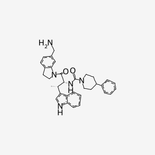 C[C@@H](c1c[nH]c2ccccc12)[C@@H](NC(=O)N1CCC(c2ccccc2)CC1)C(=O)N1CCc2ccc(CN)cc21